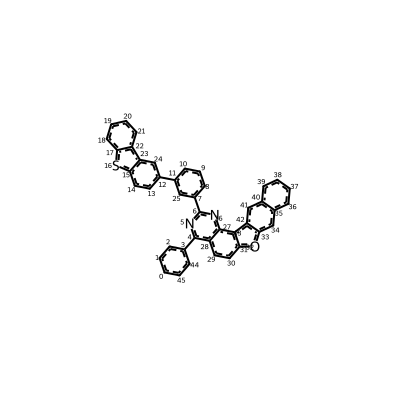 c1ccc(-c2nc(-c3cccc(-c4ccc5sc6ccccc6c5c4)c3)nc3c2ccc2oc4cc5ccccc5cc4c23)cc1